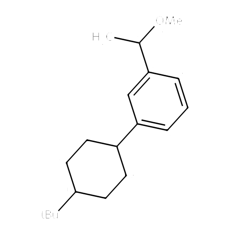 [CH2]C(OC)c1cccc(C2CCC(C(C)(C)C)CC2)c1